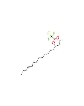 CC=CC=CC=CCCCCCCC(CCC)OC(=O)C(F)(F)F